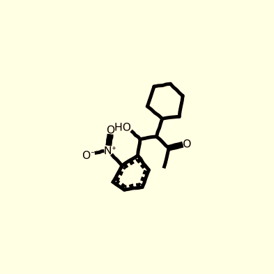 CC(=O)C(C1CCCCC1)C(O)c1ccccc1[N+](=O)[O-]